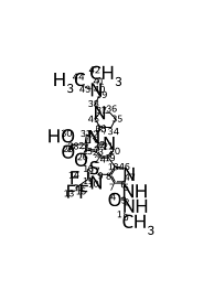 CCNC(=O)Nc1cc(-c2nc(C(F)(F)F)cs2)c(-c2cnc3c(c2)c(=O)c(C(=O)O)cn3[C@@H]2CCCN(CCN(CC)CC)C2)cn1